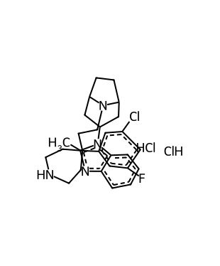 Cc1nc2ccccc2n1C1CC2CCC(C1)N2CCC1(c2cc(F)cc(Cl)c2)CCNCC1.Cl.Cl